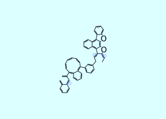 C=C(/C=c1/ccccc1=C)c1ccccccc(-c2cccc(C/C=c3\c(=C/C)oc4c5oc6ccccc6c5c5ccccc5c34)c2)c2ccccc12